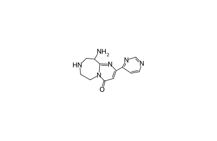 NC1CNCCn2c1nc(-c1ccncn1)cc2=O